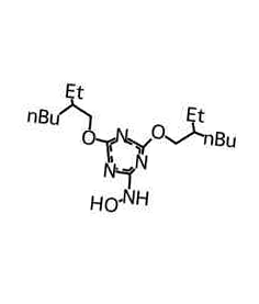 CCCCC(CC)COc1nc(NO)nc(OCC(CC)CCCC)n1